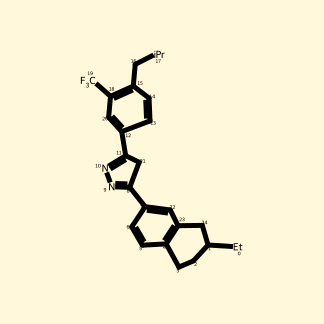 CCC1CCc2ccc(C3=NN=C(c4ccc(CC(C)C)c(C(F)(F)F)c4)C3)cc2C1